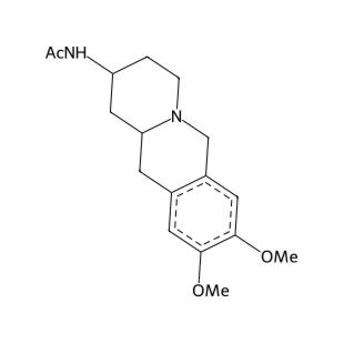 COc1cc2c(cc1OC)CN1CCC(NC(C)=O)CC1C2